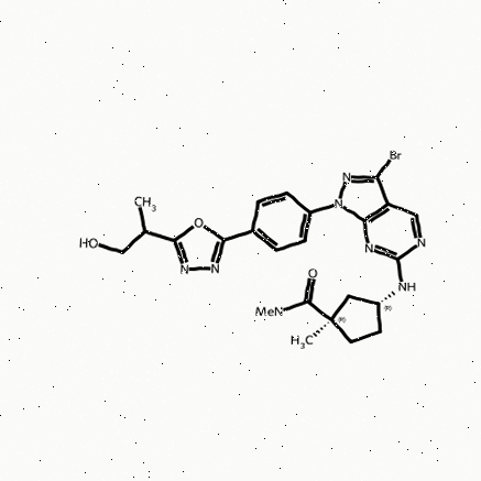 CNC(=O)[C@]1(C)CC[C@@H](Nc2ncc3c(Br)nn(-c4ccc(-c5nnc(C(C)CO)o5)cc4)c3n2)C1